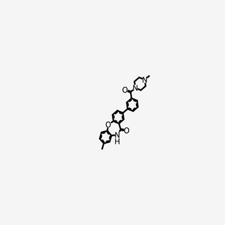 Cc1ccc2c(c1)NC(=O)c1cc(-c3cccc(C(=O)N4CCN(C)CC4)c3)ccc1O2